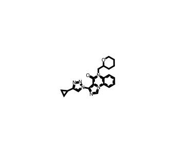 O=c1c2c(-n3cc(C4CC4)nn3)ncn2c2ccccc2n1CC1CCCCO1